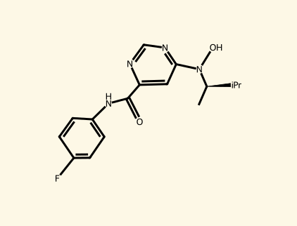 CC(C)[C@@H](C)N(O)c1cc(C(=O)Nc2ccc(F)cc2)ncn1